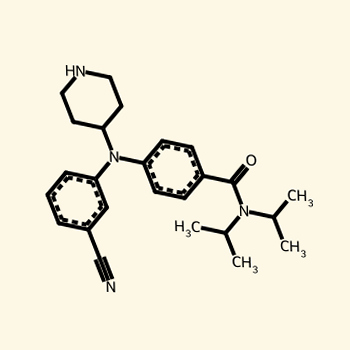 CC(C)N(C(=O)c1ccc(N(c2cccc(C#N)c2)C2CCNCC2)cc1)C(C)C